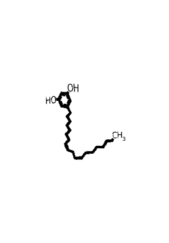 CCCCCCC/C=C\C/C=C\CCCCCCCc1cc(O)cc(O)c1